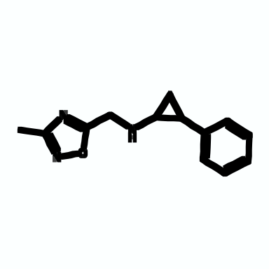 Cc1noc(CNC2CC2c2ccccc2)n1